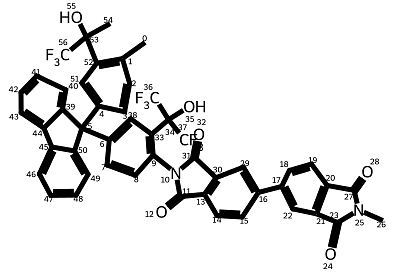 Cc1ccc(C2(c3ccc(N4C(=O)c5ccc(-c6ccc7c(c6)C(=O)N(C)C7=O)cc5C4=O)c(C(O)(C(F)(F)F)C(F)(F)F)c3)c3ccccc3-c3ccccc32)cc1C(C)(O)C(F)(F)F